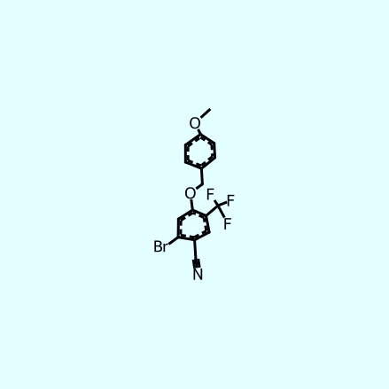 COc1ccc(COc2cc(Br)c(C#N)cc2C(F)(F)F)cc1